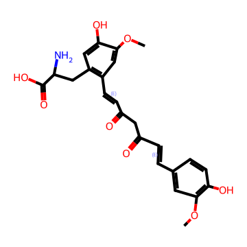 COc1cc(/C=C/C(=O)CC(=O)/C=C/c2cc(OC)c(O)cc2CC(N)C(=O)O)ccc1O